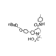 CCCCOCCOc1ccc(-c2ccc3c(c2)/C=C(/C(=O)Nc2ccc(C)cc2)CCCN3CC(C)(C)C(=O)O)cc1